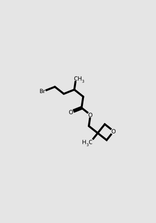 CC(CCBr)CC(=O)OCC1(C)COC1